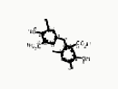 Cc1cc(Cc2c(C)cc(C)c(O)c2C(=O)O)cc(C(=O)O)c1O